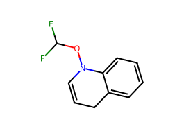 FC(F)ON1C=CCc2ccccc21